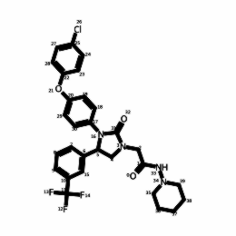 O=C(CN1CC(c2cccc(C(F)(F)F)c2)N(c2ccc(Oc3ccc(Cl)cc3)cc2)C1=O)NN1CCCCC1